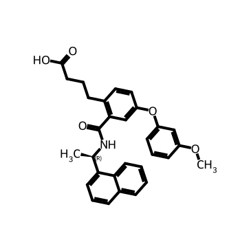 COc1cccc(Oc2ccc(CCCC(=O)O)c(C(=O)N[C@H](C)c3cccc4ccccc34)c2)c1